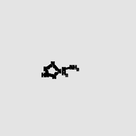 NN.n1nn[nH]n1